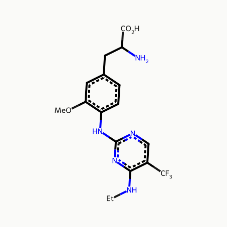 CCNc1nc(Nc2ccc(CC(N)C(=O)O)cc2OC)ncc1C(F)(F)F